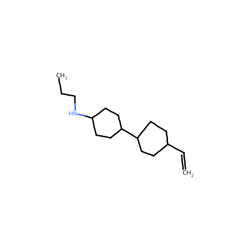 C=CC1CCC(C2CCC(NCCC)CC2)CC1